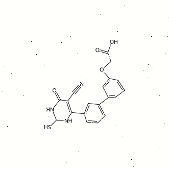 N#CC1=C(c2cccc(-c3cccc(OCC(=O)O)c3)c2)NC(S)NC1=O